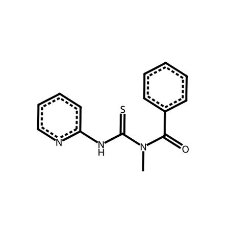 CN(C(=O)c1ccccc1)C(=S)Nc1ccccn1